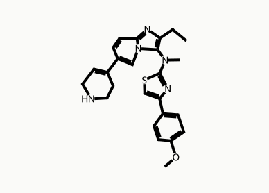 CCc1nc2ccc(C3=CCNCC3)cn2c1N(C)c1nc(-c2ccc(OC)cc2)cs1